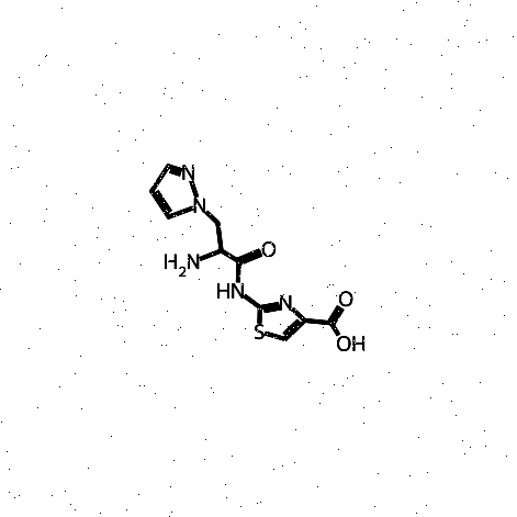 NC(Cn1cccn1)C(=O)Nc1nc(C(=O)O)cs1